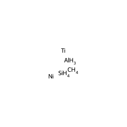 C.[AlH3].[Ni].[SiH4].[Ti]